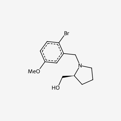 COc1ccc(Br)c(CN2CCC[C@H]2CO)c1